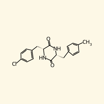 Cc1ccc(C[C@H]2NC(=O)[C@@H](Cc3ccc(Cl)cc3)NC2=O)cc1